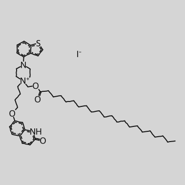 CCCCCCCCCCCCCCCCCCCCCC(=O)OC[N+]1(CCCCOc2ccc3ccc(=O)[nH]c3c2)CCN(c2cccc3sccc23)CC1.[I-]